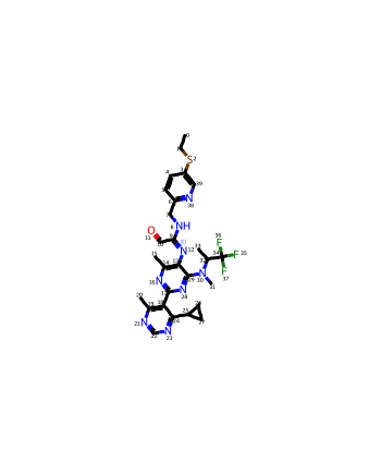 CCSc1ccc(CN/C(C=O)=N/c2c(C)nc(-c3c(C)ncnc3C3CC3)nc2N(C)C(C)C(F)(F)F)nc1